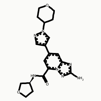 Nc1nc2cc(-c3cnn(C4CCOCC4)c3)cc(C(=O)N[C@H]3CCOC3)n2n1